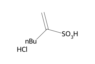 C=C(CCCC)S(=O)(=O)O.Cl